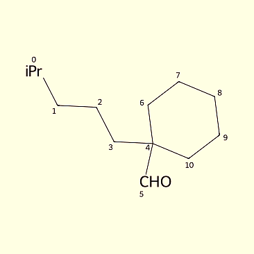 CC(C)CCCC1(C=O)CCCCC1